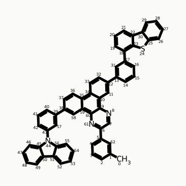 Cc1cccc(-c2cnc3c4cc(-c5cccc(-c6cccc7c6sc6ccccc67)c5)ccc4c4ccc(-c5cccc(-n6c7ccccc7c7ccccc76)c5)cc4c3n2)c1